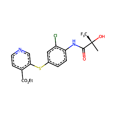 CCOC(=O)c1ccncc1Sc1ccc(NC(=O)[C@@](C)(O)C(F)(F)F)c(Cl)c1